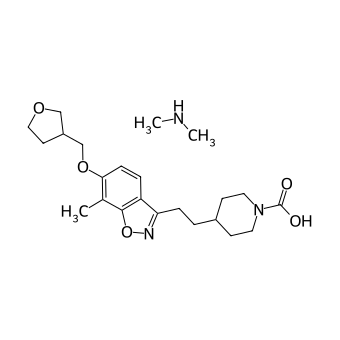 CNC.Cc1c(OCC2CCOC2)ccc2c(CCC3CCN(C(=O)O)CC3)noc12